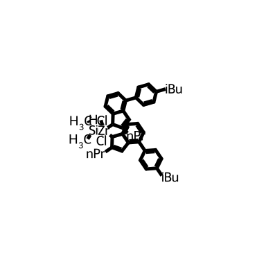 CCCC1=Cc2c(-c3ccc(C(C)CC)cc3)cccc2[CH]1[Zr]([Cl])([Cl])([CH]1C(CCC)=Cc2c(-c3ccc(C(C)CC)cc3)cccc21)[SiH](C)C